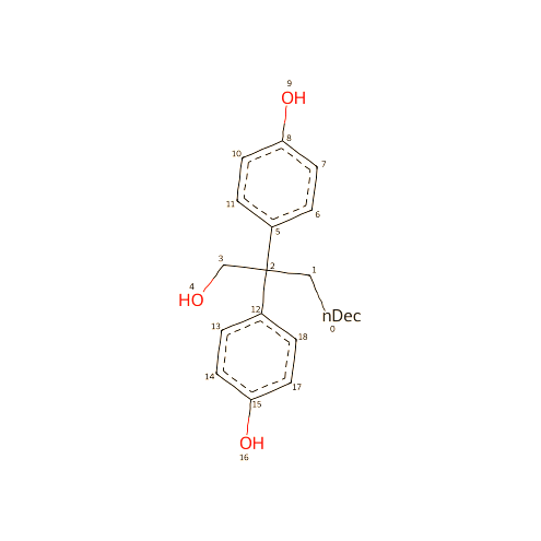 CCCCCCCCCCCC(CO)(c1ccc(O)cc1)c1ccc(O)cc1